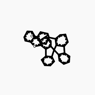 Clc1ccc(-c2cccc3c2C2(c4ccccc4-3)c3ccccc3-c3c2ccc2c3oc3ccccc32)cc1